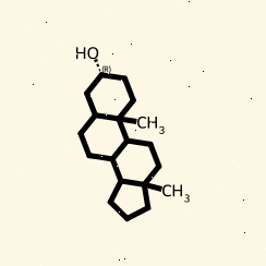 CC12CCCC1C1CCC3C[C@H](O)CCC3(C)C1CC2